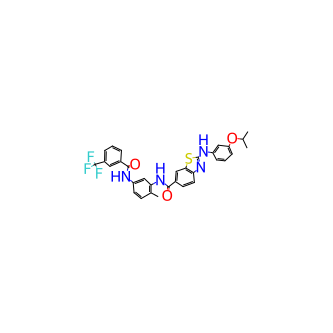 Cc1ccc(NC(=O)c2cccc(C(F)(F)F)c2)cc1NC(=O)c1ccc2nc(Nc3cccc(OC(C)C)c3)sc2c1